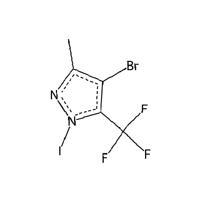 Cc1nn(I)c(C(F)(F)F)c1Br